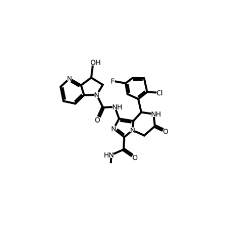 CNC(=O)c1nc(NC(=O)N2CC(O)c3ncccc32)c2n1CC(=O)NC2c1cc(F)ccc1Cl